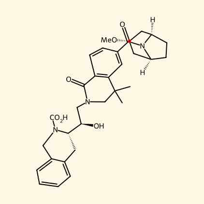 CO[C@@H]1C[C@H]2CC[C@@H](C1)N2C(=O)c1ccc2c(c1)C(C)(C)CN(C[C@@H](O)[C@@H]1Cc3ccccc3CN1C(=O)O)C2=O